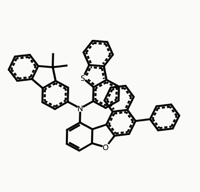 CC1(C)c2ccccc2-c2ccc(N(C3=CC=CC4Oc5cc(-c6ccccc6)c6ccccc6c5C34)c3cccc4c3sc3ccccc34)cc21